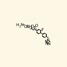 NCOBC[C@H]1CN(c2ccc(-c3ccc(Cn4cnnn4)cc3)c(F)c2)C(=O)O1